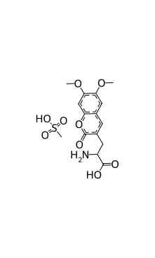 COc1cc2cc(CC(N)C(=O)O)c(=O)oc2cc1OC.CS(=O)(=O)O